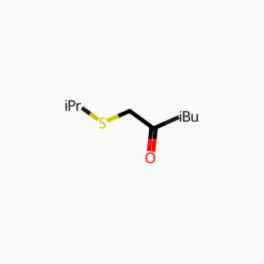 CCC(C)C(=O)CSC(C)C